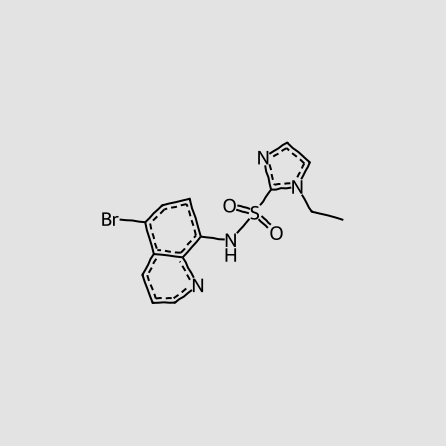 CCn1ccnc1S(=O)(=O)Nc1ccc(Br)c2cccnc12